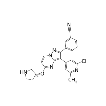 Cc1cc(-c2c(-c3cccc(C#N)c3)nn3ccc(O[C@H]4CCNC4)nc23)cc(Cl)n1